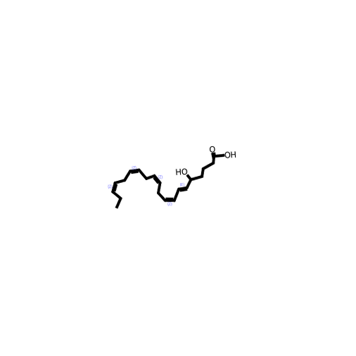 CC/C=C\C/C=C\C/C=C\C/C=C\C=C\C(O)CCCC(=O)O